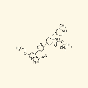 CCOc1cc(-c2ccc(N3CCC(CN4CCNC(C)C4)(NC(=O)OC(C)C)CC3)nc2)c2c(C#N)cnn2c1